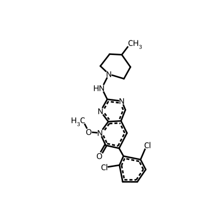 COn1c(=O)c(-c2c(Cl)cccc2Cl)cc2cnc(NN3CCC(C)CC3)nc21